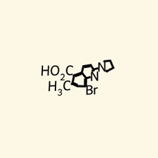 Cc1cc(Br)c2nc(N3CCCC3)ccc2c1C(=O)O